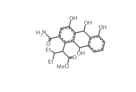 CCC(CC)C(C(=O)OC)c1c(C(N)=O)cc(O)c2c1C(O)c1cccc(O)c1C2O